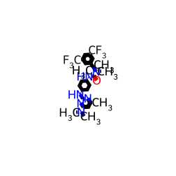 Cc1cc(N(C)C)nc(N[C@H]2CC[C@@H](NC(=O)N(C)C(C)(C)c3cc(C(F)(F)F)cc(C(F)(F)F)c3)CC2)n1